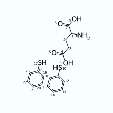 N[C@@H](CCC(=O)O)C(=O)O.Sc1ccccc1.Sc1ccccc1